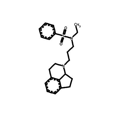 CCN(CCCN1CCc2cccc3c2C1CC3)S(=O)(=O)c1ccccc1